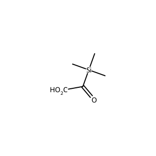 C[Si](C)(C)C(=O)C(=O)O